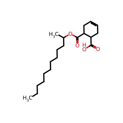 CCCCCCCCCCC(C)OC(=O)C1CC=CCC1C(=O)O